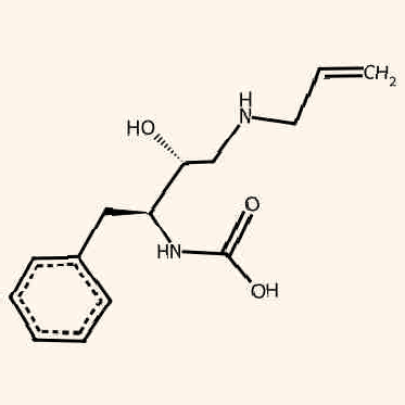 C=CCNC[C@@H](O)[C@H](Cc1ccccc1)NC(=O)O